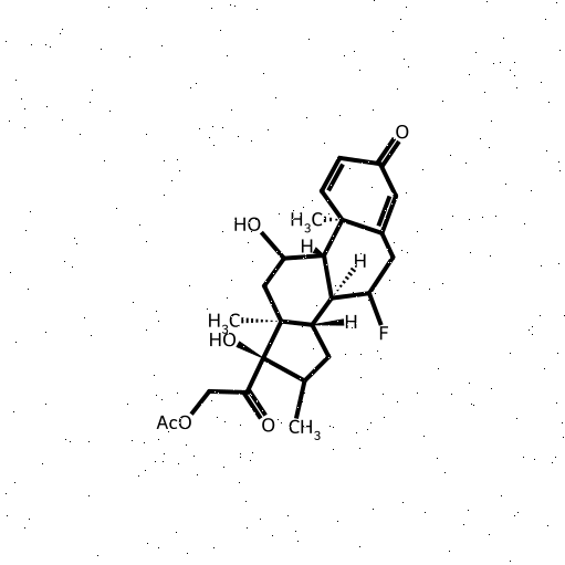 CC(=O)OCC(=O)[C@@]1(O)C(C)C[C@H]2[C@@H]3C(F)CC4=CC(=O)C=C[C@]4(C)[C@H]3C(O)C[C@@]21C